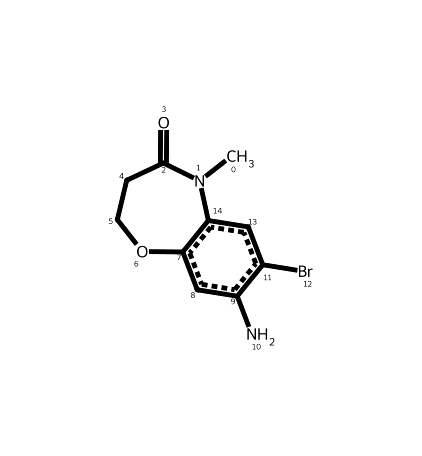 CN1C(=O)CCOc2cc(N)c(Br)cc21